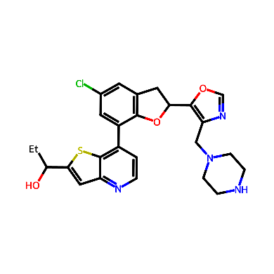 CCC(O)c1cc2nccc(-c3cc(Cl)cc4c3OC(c3ocnc3CN3CCNCC3)C4)c2s1